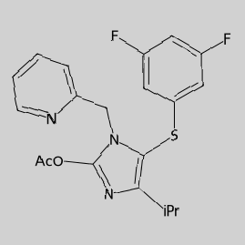 CC(=O)Oc1nc(C(C)C)c(Sc2cc(F)cc(F)c2)n1Cc1ccccn1